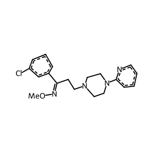 CON=C(CCN1CCN(c2ccccn2)CC1)c1cccc(Cl)c1